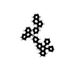 c1ccc(-c2c(-c3ccccc3)c3cc(-c4ccc(N(c5ccc(-c6cccc7c6ccc6ccccc67)cc5)c5cc6ccccc6c6ccccc56)cc4)ccc3c3ccccc23)cc1